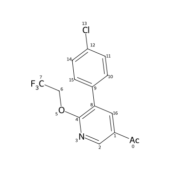 CC(=O)c1cnc(OCC(F)(F)F)c(-c2ccc(Cl)cc2)c1